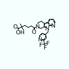 CC(C)(CCCC(=O)N1CCc2c(n(Cc3ccnc(C(F)(F)F)c3)c3ncccc23)C1)C(=O)O